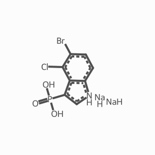 O=P(O)(O)c1c[nH]c2ccc(Br)c(Cl)c12.[NaH].[NaH]